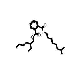 CCCCC(CC)COC(=O)c1ccccc1C(=O)OCCCCCCC(C)C